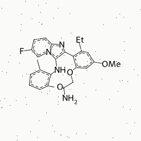 CCc1cc(OC)cc(OCC(N)=O)c1-c1nc2ccc(F)cn2c1Nc1c(C)cccc1C